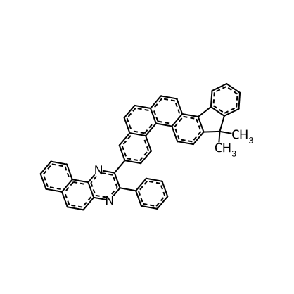 CC1(C)c2ccccc2-c2c1ccc1c2ccc2ccc3cc(-c4nc5c(ccc6ccccc65)nc4-c4ccccc4)ccc3c21